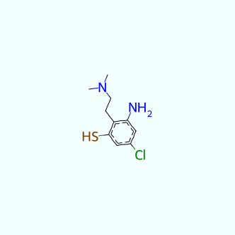 CN(C)CCc1c(N)cc(Cl)cc1S